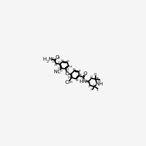 CC1(C)CC(NC(=O)c2ccc(Oc3cccc(CC(N)=O)c3C#N)c(Cl)c2)CC(C)(C)N1